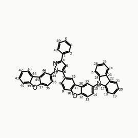 c1ccc(-c2cc(-c3ccc4oc5ccc(-n6c7ccccc7c7ccccc76)cc5c4c3)n(-c3ccc4oc5ccccc5c4c3)n2)cc1